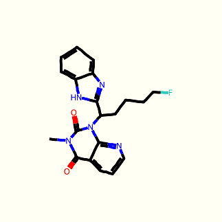 Cn1c(=O)c2cccnc2n(C(CCCCF)c2nc3ccccc3[nH]2)c1=O